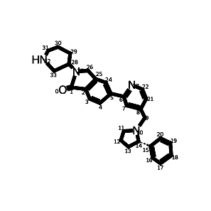 O=C1c2ccc(-c3cc(CN4CCC[C@H]4c4ccccc4)ccn3)cc2CN1C1CCCNC1